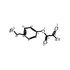 CCC(=O)C(=O)Oc1ccc(CBr)cc1